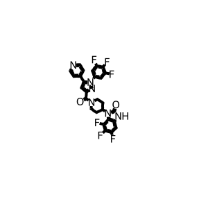 O=C(c1cc(-c2ccncc2)n(-c2cc(F)c(F)c(F)c2)n1)N1CCC(n2c(=O)[nH]c3cc(F)c(F)c(F)c32)CC1